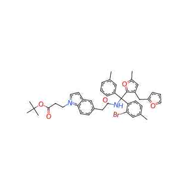 Cc1cccc(C(NC(=O)Cc2ccc3c(ccn3CCC(=O)OC(C)(C)C)c2)(c2ccc(C)cc2Br)c2oc(C)cc2Cc2ccco2)c1